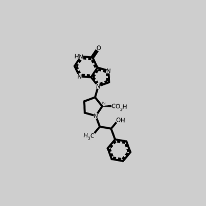 CC(C(O)c1ccccc1)N1CCC(n2cnc3c(=O)[nH]cnc32)[C@H]1C(=O)O